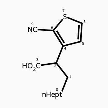 CCCCCCCCC(C(=O)O)c1ccsc1C#N